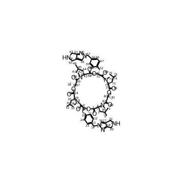 CC(C)C[C@H]1C(=O)O[C@H](Cc2ccc(Cn3cc4c(n3)CNC4)cc2)C(=O)N(C)[C@@H](CC(C)C)C(=O)O[C@H](C)C(=O)N(C)[C@@H](CC(C)C)C(=O)O[C@H](Cc2ccc(Cn3cc4c(n3)CNC4)cc2)C(=O)N(C)[C@@H](CC(C)C)C(=O)O[C@H](C)C(=O)N1C